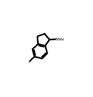 CNC1CCc2cc(I)ccc21